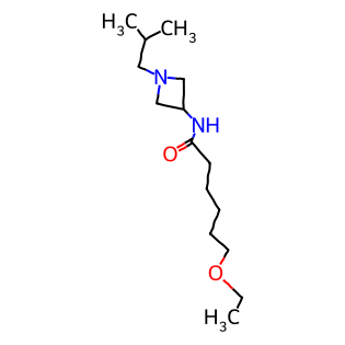 CCOCCCCCC(=O)NC1CN(CC(C)C)C1